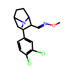 CO/N=C/C1C(c2ccc(Cl)c(Cl)c2)CC2CCC1N2C